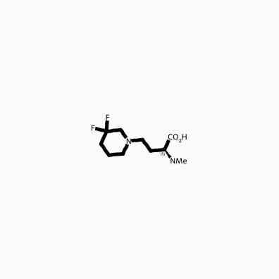 CN[C@@H](CCN1CCCC(F)(F)C1)C(=O)O